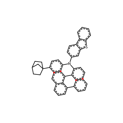 c1ccc(-c2cccc3cccc(-c4ccccc4N(c4ccc(C56CCC(CC5)C6)cc4)c4ccc5c(c4)sc4ccccc45)c23)cc1